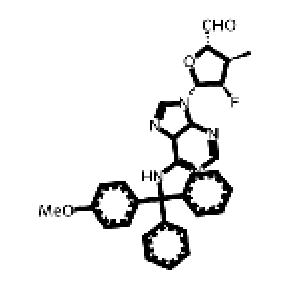 COc1ccc(C(NC2=NC=NC3C2N=CN3[C@@H]2O[C@H](C=O)[C@@H](C)[C@H]2F)(c2ccccc2)c2ccccc2)cc1